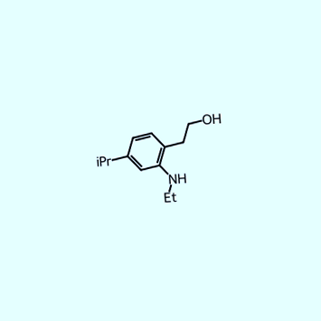 CCNc1cc(C(C)C)ccc1CCO